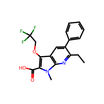 CCc1nc2c(cc1-c1ccccc1)c(OCC(F)(F)F)c(C(=O)O)n2C